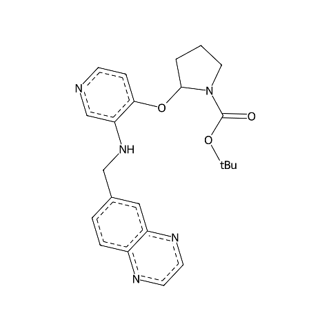 CC(C)(C)OC(=O)N1CCCC1Oc1ccncc1NCc1ccc2nccnc2c1